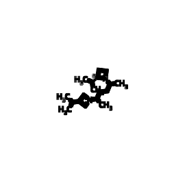 CC(C)C1CN(C(C)CCC(C)N2CC[C@H]2C(C)C)C1